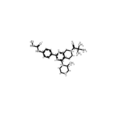 CCNC(=O)Nc1ccc(-c2nc3c(c(N4CCOCC4C)n2)CCN(C(=O)C(C)(C)N)C3)cc1